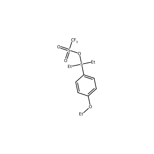 CCOc1ccc(S(CC)(CC)OS(=O)(=O)C(F)(F)F)cc1